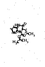 CSCC1C(=S)Nc2cccnc2N1C(=O)OC(C)C